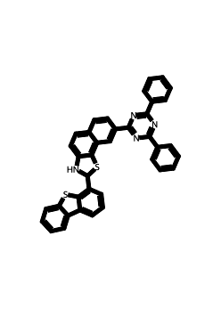 c1ccc(-c2nc(-c3ccccc3)nc(-c3ccc4ccc5c(c4c3)SC(c3cccc4c3sc3ccccc34)N5)n2)cc1